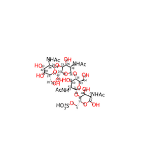 CC(=O)N[C@H]1C(O)O[C@H](COS(=O)(=O)O)[C@@H](O[C@H]2O[C@H](CO)[C@@H](O[C@@H]3O[C@H](CO)[C@@H](O[C@H]4O[C@H](CO)[C@@H](O)[C@H](O)[C@H]4NC(C)=O)C(O)[C@H]3NC(C)=O)[C@H](O)[C@H]2NC(C)=O)C1O